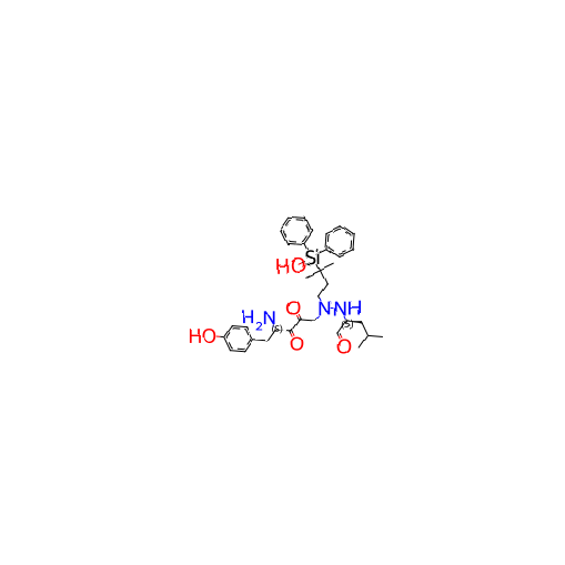 CC(C)C[C@@H](C=O)NN(CCC(C)(C)[Si](O)(c1ccccc1)c1ccccc1)CC(=O)C(=O)[C@@H](N)Cc1ccc(O)cc1